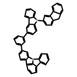 c1cc(-c2ccc3c(c2)c2ccccc2n3-c2ccc3c(c2)-c2ccccc2C3)cc(-c2ccc3c4cccc5c6ccccc6n(c3c2)c54)c1